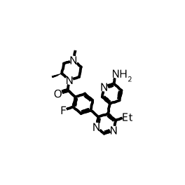 CCc1ncnc(-c2ccc(C(=O)N3CCN(C)C[C@@H]3C)c(F)c2)c1-c1ccc(N)nc1